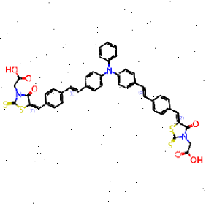 O=C(O)CN1C(=O)/C(=C/c2ccc(/C=C/c3ccc(N(c4ccccc4)c4ccc(/C=C/c5ccc(/C=C6/SC(=S)N(CC(=O)O)C6=O)cc5)cc4)cc3)cc2)SC1=S